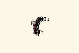 CC(C)C1=C2[C@H]3CC[C@@H]4[C@@]5(C)CC[C@H](NC(=O)NCC6CCCN6C(=O)OC(C)(C)C)C(C)(C)[C@@H]5CC[C@@]4(C)[C@]3(C)CC[C@@]2(C)CC1=O